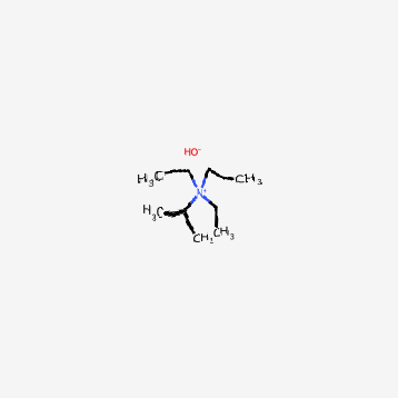 CC[N+](CC)(CC)C(C)C.[OH-]